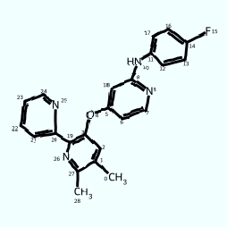 Cc1cc(Oc2ccnc(Nc3ccc(F)cc3)c2)c(-c2ccccn2)nc1C